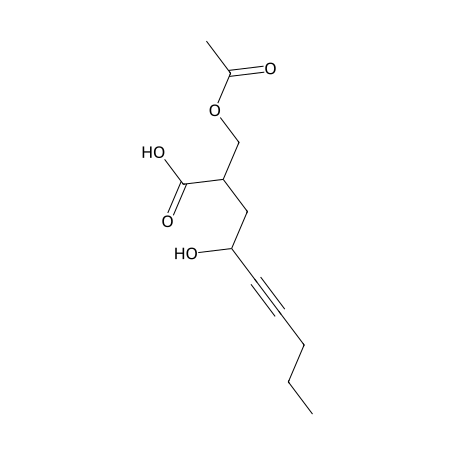 CCCC#CC(O)CC(COC(C)=O)C(=O)O